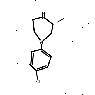 C[C@@H]1CN(c2ccc(Cl)cc2)CCN1